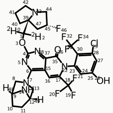 [2H]C([2H])(Oc1nc(N2C[C@H]3CC[C@@H](C2)N3)c2cc(C(F)(F)F)n(-c3cc(O)cc(Cl)c3C(F)(F)F)c(=O)c2n1)[C@@]12CCCN1C[C@H](F)C2